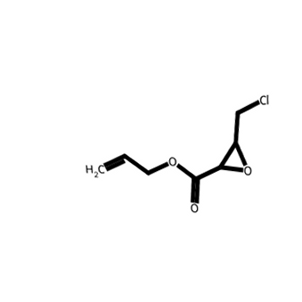 C=CCOC(=O)C1OC1CCl